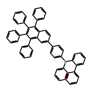 c1ccc(-c2ccccc2N(c2ccccc2)c2ccc(-c3ccc4c(-c5ccccc5)c(-c5ccccc5)c(-c5ccccc5)c(-c5ccccc5)c4c3)cc2)cc1